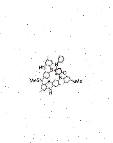 CSc1cc(C)c2c(c1)Oc1ccccc1B2c1cc2c(cc1C)Nc1cc(C)cc3c1B2c1cc2c(cc1N3SC)Nc1cc(C)cc3c1B2c1ccccc1N3c1ccccc1